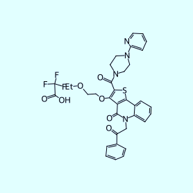 CCOCCOc1c(C(=O)N2CCN(c3ccccn3)CC2)sc2c1c(=O)n(CC(=O)c1ccccc1)c1ccccc21.O=C(O)C(F)(F)F